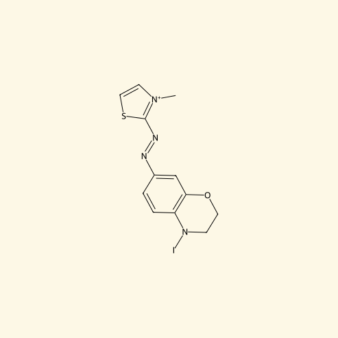 C[n+]1ccsc1N=Nc1ccc2c(c1)OCCN2I